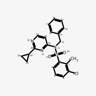 Cc1c(Cl)cccc1S(=O)(=O)N(Cc1ccccc1)c1ccnc(C2CC2)n1